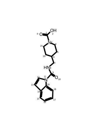 O=C(O)N1CCC(CNC(=O)n2ccc3ccccc32)CC1